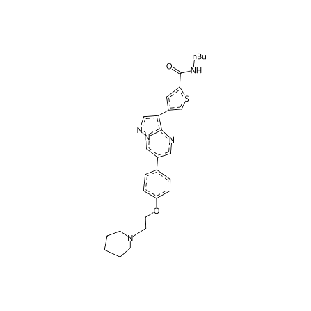 CCCCNC(=O)c1cc(-c2cnn3cc(-c4ccc(OCCN5CCCCC5)cc4)cnc23)cs1